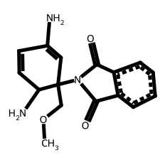 COCC1(N2C(=O)c3ccccc3C2=O)C=C(N)C=CC1N